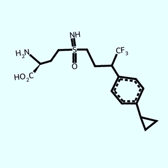 N=S(=O)(CCC(c1ccc(C2CC2)cc1)C(F)(F)F)CC[C@H](N)C(=O)O